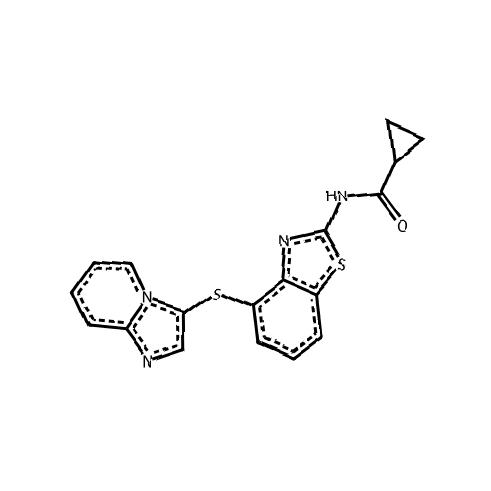 O=C(Nc1nc2c(Sc3cnc4ccccn34)cccc2s1)C1CC1